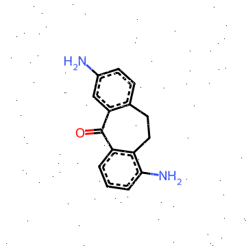 Nc1ccc2c(c1)C(=O)c1cccc(N)c1CC2